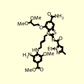 CCn1nc(C)cc1C(=O)/N=c1\sc2cc(C(N)=O)cc(OCCC(OC)OC)c2n1C/C=C/CNc1c(N)cc(C(=O)OC)cc1OC